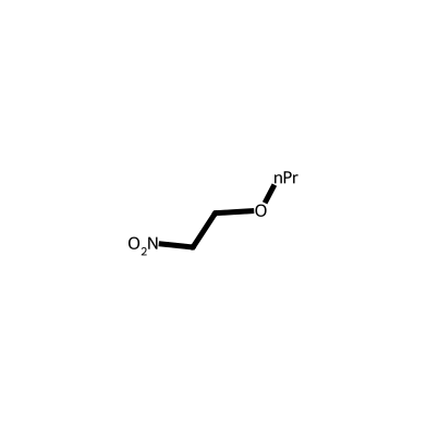 CCCOCC[N+](=O)[O-]